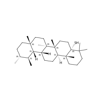 C[C@@H]1[C@H]2[C@H]3CC[C@@H]4[C@@]5(C)CCCC(C)(C)[C@]5(S)CC[C@@]4(C)[C@]3(C)CC[C@@]2(C)CC[C@H]1C